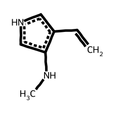 C=Cc1c[nH]cc1NC